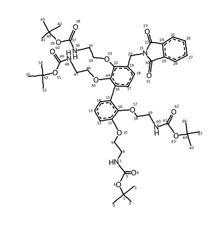 CC(C)(C)OC(=O)NCCOc1cccc(-c2ccc(CN3C(=O)c4ccccc4C3=O)c(OCCNC(=O)OC(C)(C)C)c2OCCNC(=O)OC(C)(C)C)c1OCCNC(=O)OC(C)(C)C